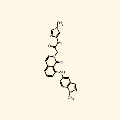 Cn1cnc(NC(=O)Cn2ccc3cccc(Nc4ccc5c(cnn5C)c4)c3c2=O)c1